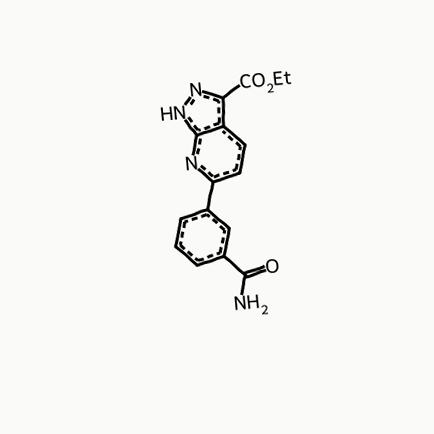 CCOC(=O)c1n[nH]c2nc(-c3cccc(C(N)=O)c3)ccc12